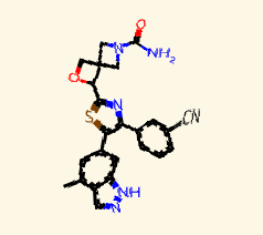 Cc1cc(-c2sc(C3OCC34CN(C(N)=O)C4)nc2-c2cccc(C#N)c2)cc2[nH]ncc12